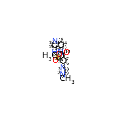 CN1CCN(c2ccc(C(=O)Nc3cccc4ncccc34)c(S(C)(=O)=O)c2)CC1